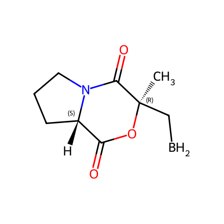 BC[C@@]1(C)OC(=O)[C@@H]2CCCN2C1=O